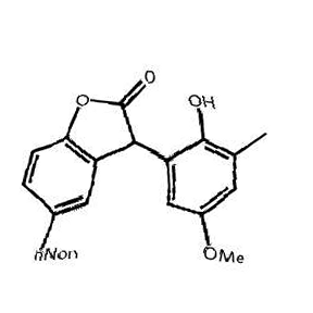 CCCCCCCCCc1ccc2c(c1)C(c1cc(OC)cc(C)c1O)C(=O)O2